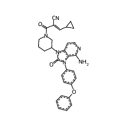 N#CC(=CC1CC1)C(=O)N1CCCC(n2c(=O)n(-c3ccc(Oc4ccccc4)cc3)c3c(N)nccc32)C1